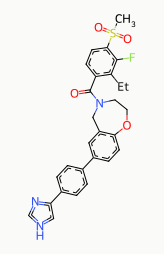 CCc1c(C(=O)N2CCOc3ccc(-c4ccc(-c5c[nH]cn5)cc4)cc3C2)ccc(S(C)(=O)=O)c1F